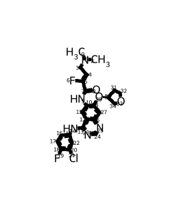 CN(C)CC=C(F)C(=O)Nc1cc2c(Nc3ccc(F)c(Cl)c3)ncnc2cc1O[C@H]1CCOC1